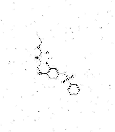 CCOC(=O)NC1=Nc2cc(OS(=O)(=O)c3ccccc3)ccc2NS1